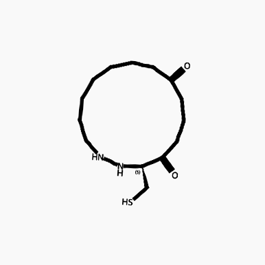 O=C1CCCCCCCNN[C@H](CS)C(=O)CCC1